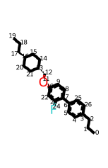 CCCc1ccc(-c2ccc(OC[C@H]3CC[C@H](CCC)CC3)cc2F)cc1